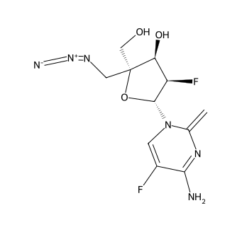 C=C1N=C(N)C(F)=CN1[C@@H]1O[C@@](CO)(CN=[N+]=[N-])[C@@H](O)[C@H]1F